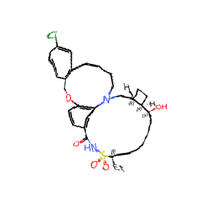 CC[C@@H]1CCCC[C@H](O)[C@@H]2CC[C@H]2CN2CCCCc3cc(Cl)ccc3COc3ccc(cc32)C(=O)NS1(=O)=O